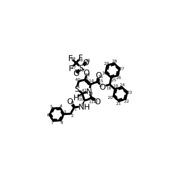 O=C(Cc1ccccc1)N[C@@H]1C(=O)N2C(C(=O)OC(c3ccccc3)c3ccccc3)=C(OS(=O)(=O)C(F)(F)F)CS[C@@H]12